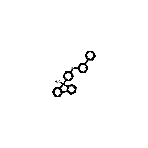 CC1(c2ccc(Nc3cccc(-c4ccccc4)c3)cc2)c2ccccc2-c2ccccc21